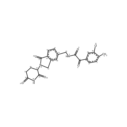 Cc1ccc(C(=O)C(=O)NCc2ccc3c(c2)CN(C2CCC(=O)NC2=O)C3=O)cc1Cl